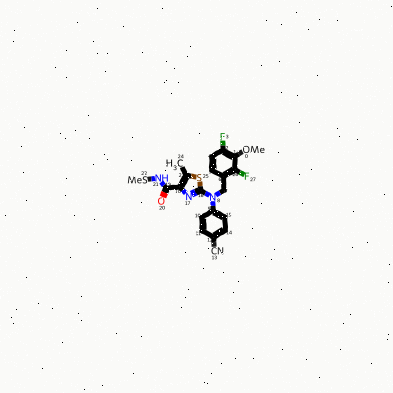 COc1c(F)ccc(CN(c2ccc(C#N)cc2)c2nc(C(=O)NSC)c(C)s2)c1F